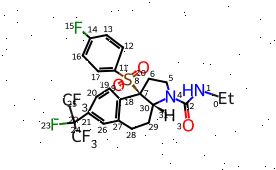 CCNC(=O)N1CC[C@@]2(S(=O)(=O)c3ccc(F)cc3)c3ccc(C(F)(C(F)(F)F)C(F)(F)F)cc3CC[C@@H]12